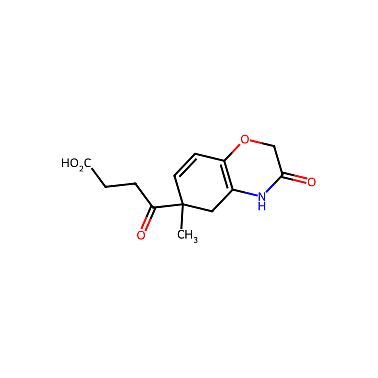 CC1(C(=O)CCC(=O)O)C=CC2=C(C1)NC(=O)CO2